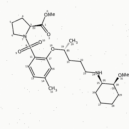 COC(=O)[C@@H]1CCCN1S(=O)(=O)c1ccc(C)cc1O[C@H](C)CCCN[C@@H]1CCCC[C@@H]1OC